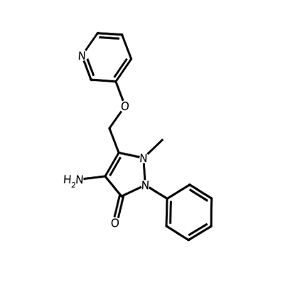 Cn1c(COc2cccnc2)c(N)c(=O)n1-c1ccccc1